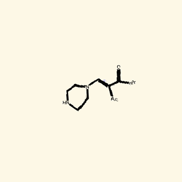 CCCC(=O)/C(=C/N1CCNCC1)C(C)=O